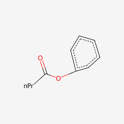 [CH]CCC(=O)Oc1ccccc1